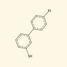 CCc1ccc(-c2cccc(S)c2)cc1